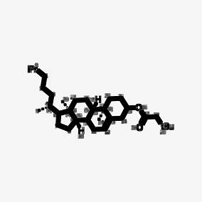 CC(C)CCC[C@@H](C)C1CC[C@H]2C3CC=C4CC(OC(=O)CC(C)(C)C)CC[C@]4(C)[C@H]3CC[C@]12C